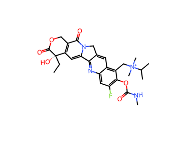 CC[C@@]1(O)C(=O)OCc2c1cc1n(c2=O)Cc2cc3c(C[N+](C)(C)C(C)C)c(OC(=O)NC)c(F)cc3nc2-1